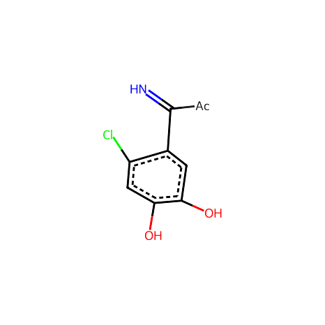 CC(=O)C(=N)c1cc(O)c(O)cc1Cl